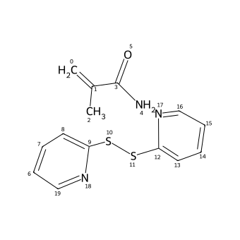 C=C(C)C(N)=O.c1ccc(SSc2ccccn2)nc1